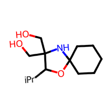 CC(C)C1OC2(CCCCC2)NC1(CO)CO